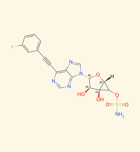 NS(=O)(=O)OC1[C@H]2O[C@@H](n3cnc4c(C#Cc5cccc(F)c5)ncnc43)[C@H](O)[C@@]12O